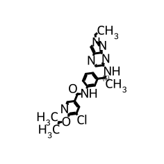 CCn1cc2ncc(N[C@@H](C)c3cccc(NC(=O)c4cnc(OC(C)C)c(Cl)c4)c3)nc2n1